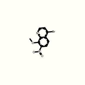 COc1c([N+](=O)[O-])ccc2c(Br)ccnc12